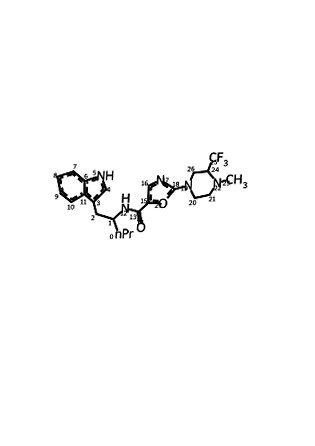 CCCC(Cc1c[nH]c2ccccc12)NC(=O)c1cnc(N2CCN(C)C(C(F)(F)F)C2)o1